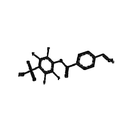 C=Cc1ccc(C(=O)Oc2c(F)c(F)c(S(=O)(=O)O)c(F)c2F)cc1